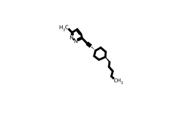 CCCCC[C@H]1CC[C@H](C#Cc2ccc(C)nn2)CC1